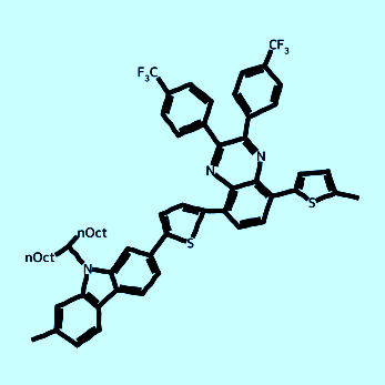 CCCCCCCCC(CCCCCCCC)n1c2cc(C)ccc2c2ccc(-c3ccc(-c4ccc(-c5ccc(C)s5)c5nc(-c6ccc(C(F)(F)F)cc6)c(-c6ccc(C(F)(F)F)cc6)nc45)s3)cc21